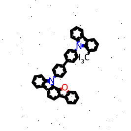 Cc1cccc2c3ccccc3n(-c3ccc(-c4ccc(-n5c6ccccc6c6ccc7c8ccccc8oc7c65)cc4)cc3)c12